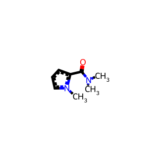 CN(C)C(=O)c1cccn1C